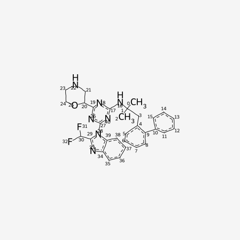 CC(C)(Cc1ccccc1-c1ccccc1)Nc1nc(C2CNCCO2)nc(-n2c(C(F)F)nc3ccccc32)n1